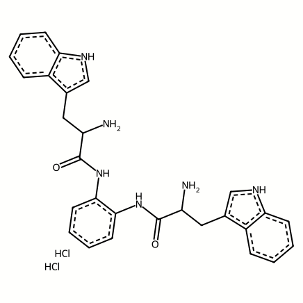 Cl.Cl.NC(Cc1c[nH]c2ccccc12)C(=O)Nc1ccccc1NC(=O)C(N)Cc1c[nH]c2ccccc12